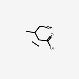 CC.CC(CO)CC(=O)O